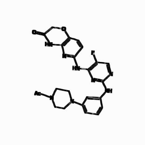 CC(=O)N1CCN(c2cccc(Nc3ncc(F)c(Nc4ccc5c(n4)NC(=O)CO5)n3)c2)CC1